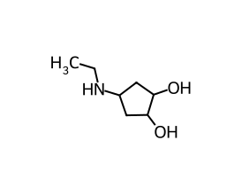 CCNC1CC(O)C(O)C1